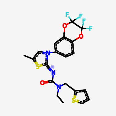 CCN(Cc1cccs1)C(=O)/N=c1\sc(C)cn1-c1ccc2c(c1)OC(F)(F)C(F)(F)O2